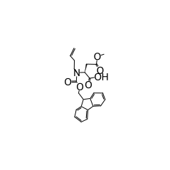 C=CCCN(C(=O)OCC1c2ccccc2-c2ccccc21)[C@@H](CC(=O)OC)C(=O)O